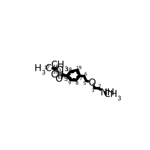 CNCCOCCc1ccc(C(=O)OC(C)(C)C)cc1